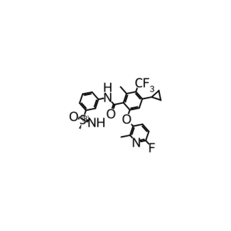 Cc1nc(F)ccc1Oc1cc(C2CC2)c(C(F)(F)F)c(C)c1C(=O)Nc1cccc([S@](C)(=N)=O)c1